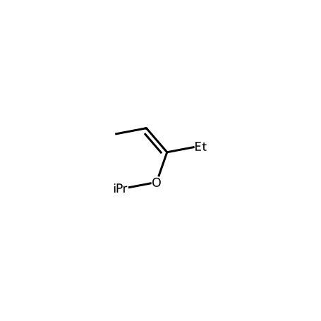 CC=C(CC)OC(C)C